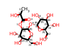 CC(O)C(=O)O[C@H]1[C@@H](O[C@H]2O[C@H](CO)[C@@H](O)[C@H](O)[C@H]2O)O[C@H](CO)[C@@H](O)[C@@H]1O